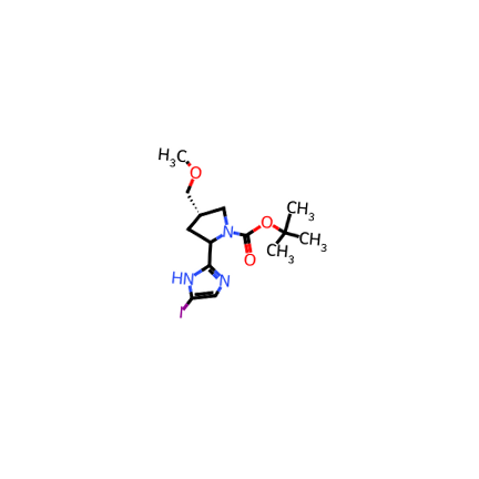 COC[C@H]1CC(c2ncc(I)[nH]2)N(C(=O)OC(C)(C)C)C1